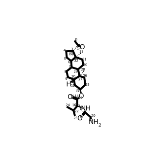 CC(=O)[C@H]1CCC2C3CC[C@H]4C[C@H](OC(=O)[C@@H](NC(=O)CN)C(C)C)CC[C@]4(C)C3CC[C@@]21C